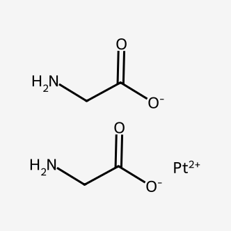 NCC(=O)[O-].NCC(=O)[O-].[Pt+2]